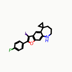 Fc1ccc(-c2oc3cc4c(cc3c2I)C2(CCCN4)CC2)cc1